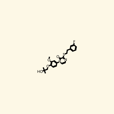 COc1cc(-n2ccnc(SCCc3cccc(F)c3)c2=O)ccc1OCC(C)(C)O